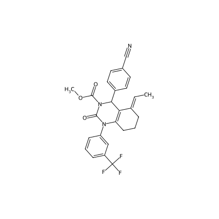 CC=C1CCCC2=C1C(c1ccc(C#N)cc1)N(C(=O)OC)C(=O)N2c1cccc(C(F)(F)F)c1